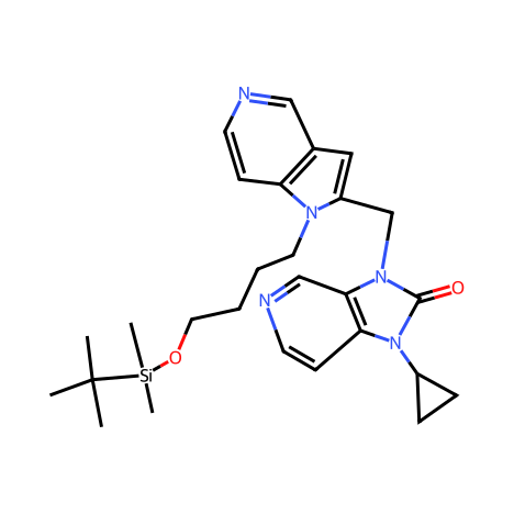 CC(C)(C)[Si](C)(C)OCCCCn1c(Cn2c(=O)n(C3CC3)c3ccncc32)cc2cnccc21